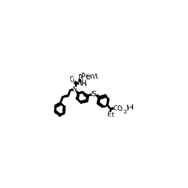 CCCCCNC(=O)N(CCCc1ccccc1)c1cccc(Sc2ccc(C(CC)C(=O)O)cc2)c1